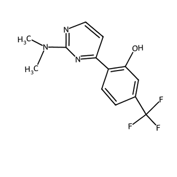 CN(C)c1nccc(-c2ccc(C(F)(F)F)cc2O)n1